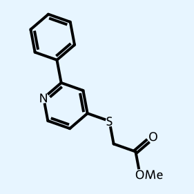 COC(=O)CSc1ccnc(-c2ccccc2)c1